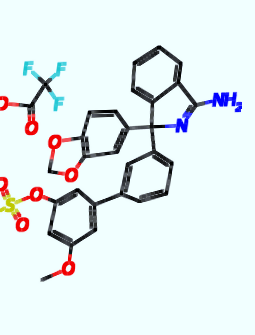 COc1cc(OS(C)(=O)=O)cc(-c2cccc(C3(c4ccc5c(c4)OCO5)N=C(N)c4ccccc43)c2)c1.O=C(O)C(F)(F)F